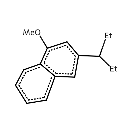 CCC(CC)c1cc(OC)c2ccccc2c1